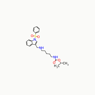 CC(C)OC(=O)NCCCCCNCc1cn(S(=O)(=O)c2ccccc2)c2ccccc12